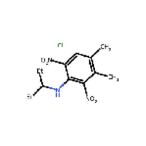 CCC(CC)Nc1c([N+](=O)[O-])cc(C)c(C)c1[N+](=O)[O-].Cl